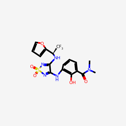 CN(C)C(=O)c1cccc(NC2=NS(=O)(=O)N=C2N[C@@H](c2ccco2)C(F)(F)F)c1O